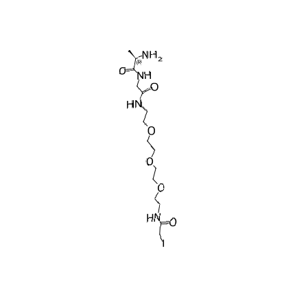 C[C@@H](N)C(=O)NCC(=O)NCCOCCOCCOCCNC(=O)CI